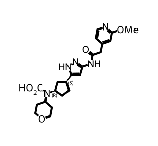 COc1cc(CC(=O)Nc2cc([C@H]3CC[C@@H](N(C(=O)O)C4CCOCC4)C3)[nH]n2)ccn1